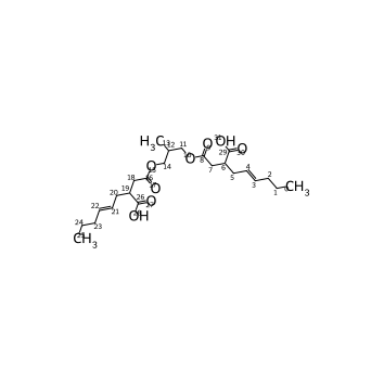 CCC/C=C/CC(CC(=O)OCC(C)COC(=O)CC(C/C=C/CCC)C(=O)O)C(=O)O